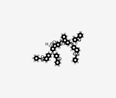 CC1(C)c2ccc(N(c3ccc4c(ccc5nc(-c6ccccc6)oc54)c3)c3ccc4oc5ccccc5c4c3)cc2-c2ccc(CC3(C)c4ccccc4-c4cc(N(c5ccc6c(ccc7nc(-c8ccccc8)oc76)c5)c5ccc6c(c5)oc5ccccc56)ccc43)cc21